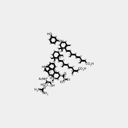 CC(=O)N[C@@H](CS)C(=O)O.CC1=C(/C=C/C(C)=C/C=C/C(C)=C/C(=O)O)C(C)(C)CCC1.CC1=C(/C=C/C(C)=C/C=C/C(C)=C\C(=O)O)C(C)(C)CCC1.CCN(CC)C(=O)[C@@H]1C=C2c3cccc4[nH]cc(c34)C[C@H]2N(C)C1.NC(N)=O.Oc1cccc(O)c1